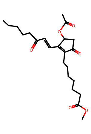 CCCCCC(=O)C=CC1=C(CCCCCCC(=O)OC)C(=O)CC1OC(C)=O